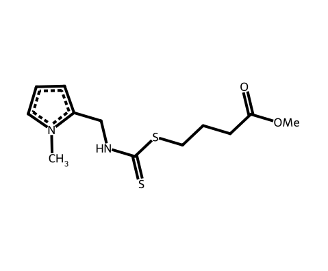 COC(=O)CCCSC(=S)NCc1cccn1C